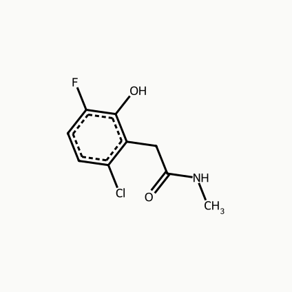 CNC(=O)Cc1c(Cl)ccc(F)c1O